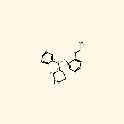 CCCc1ccccc1S[C@@H](c1ccccc1)[C@@H]1CNCCO1